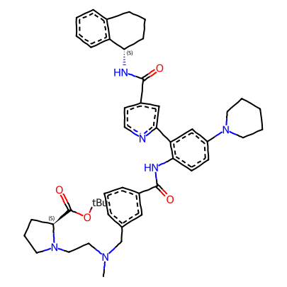 CN(CCN1CCC[C@H]1C(=O)OC(C)(C)C)Cc1cccc(C(=O)Nc2ccc(N3CCCCC3)cc2-c2cc(C(=O)N[C@H]3CCCc4ccccc43)ccn2)c1